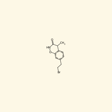 CC1C(=O)NOc2cc(CCBr)ccc21